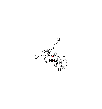 O=C(N[C@H]1C[C@H]2CC[C@@H](C1)N2S(=O)(=O)N1CC=CCC(NCCCC(F)(F)F)C1)c1cc(C2CC2)on1